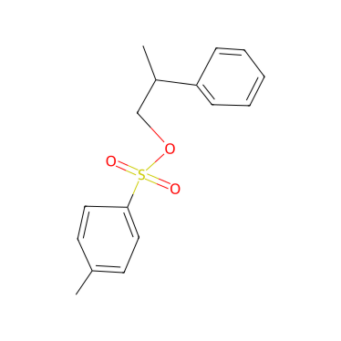 Cc1ccc(S(=O)(=O)OCC(C)c2ccccc2)cc1